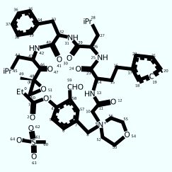 CCC(=O)Oc1ccc(C[N+]2(CC(=O)NC(CCc3ccccc3)C(=O)NC(CC(C)C)C(=O)NC(Cc3ccccc3)C(=O)NC(CC(C)C)C(=O)[C@@]3(C)CO3)CCOCC2)cc1C=O.CS(=O)(=O)[O-]